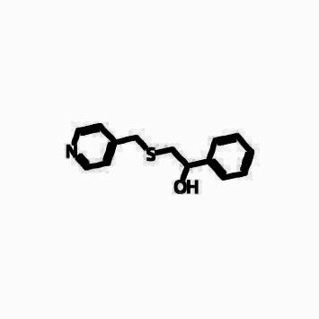 OC(CSCc1ccncc1)c1ccccc1